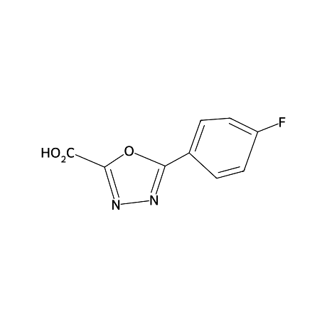 O=C(O)c1nnc(-c2ccc(F)cc2)o1